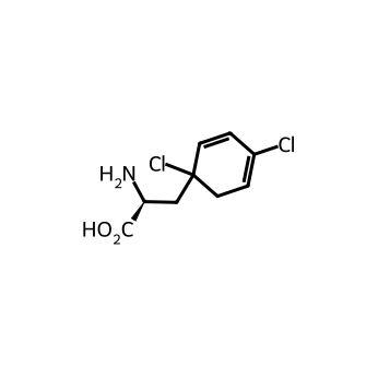 N[C@@H](CC1(Cl)C=CC(Cl)=CC1)C(=O)O